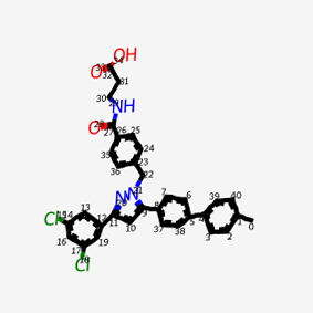 Cc1ccc(-c2ccc(-c3cc(-c4cc(Cl)cc(Cl)c4)nn3Cc3ccc(C(=O)NCCC(=O)O)cc3)cc2)cc1